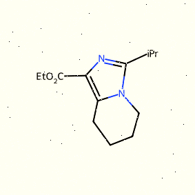 CCOC(=O)c1nc(C(C)C)n2c1CCCC2